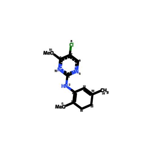 COC1=C(Nc2ncc(Cl)c(OC)n2)C=C(C)[CH]C1